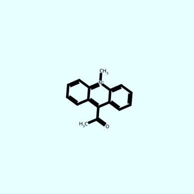 CC(=O)c1c2ccccc2[n+](C)c2ccccc12